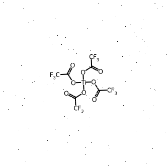 O=C([O][Ti]([O]C(=O)C(F)(F)F)([O]C(=O)C(F)(F)F)[O]C(=O)C(F)(F)F)C(F)(F)F